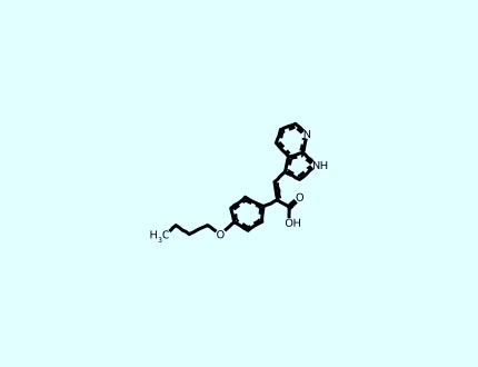 CCCCOc1ccc(/C(=C/c2c[nH]c3ncccc23)C(=O)O)cc1